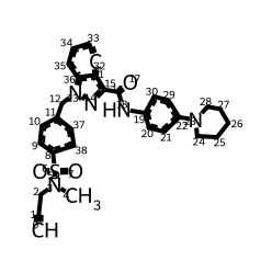 C#CCN(C)S(=O)(=O)c1ccc(Cn2nc(C(=O)Nc3ccc(N4CCCCC4)cc3)c3ccccc32)cc1